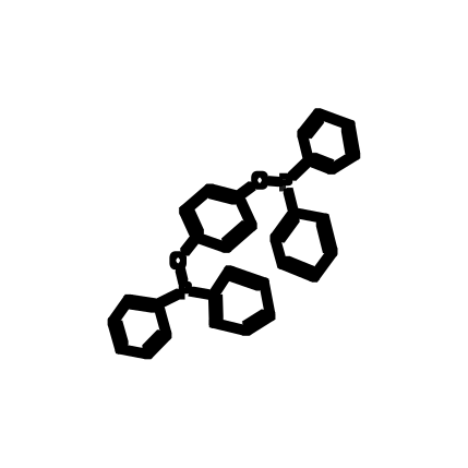 c1ccc(P(Oc2ccc(OP(c3ccccc3)c3ccccc3)cc2)c2ccccc2)cc1